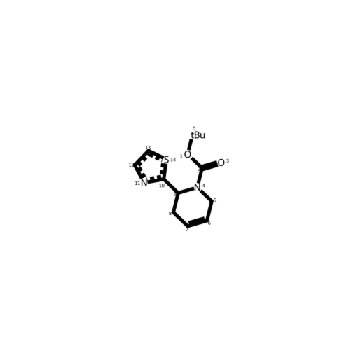 CC(C)(C)OC(=O)N1CC=CCC1c1nccs1